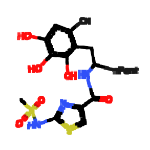 CCCCCC(Cc1c(C#N)cc(O)c(O)c1O)NC(=O)c1csc(NS(C)(=O)=O)n1